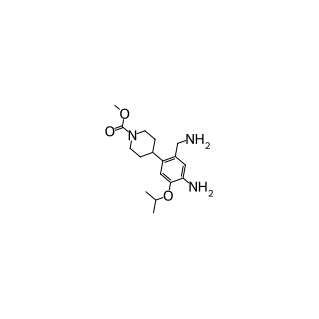 COC(=O)N1CCC(c2cc(OC(C)C)c(N)cc2CN)CC1